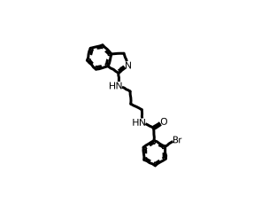 O=C(NCCCNC1=NCc2ccccc21)c1ccccc1Br